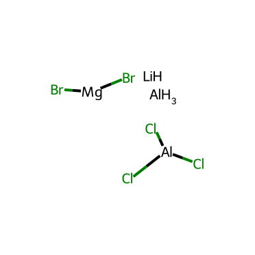 [AlH3].[Br][Mg][Br].[Cl][Al]([Cl])[Cl].[LiH]